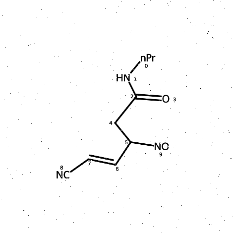 CCCNC(=O)CC(/C=C/C#N)N=O